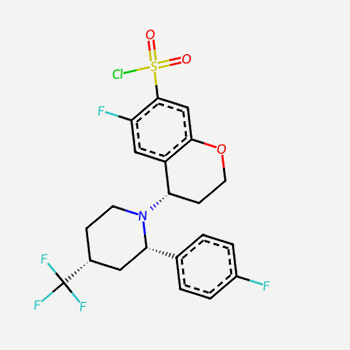 O=S(=O)(Cl)c1cc2c(cc1F)[C@@H](N1CC[C@@H](C(F)(F)F)C[C@H]1c1ccc(F)cc1)CCO2